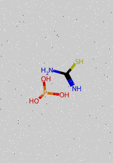 N=C(N)S.OP(O)O